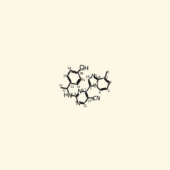 Cc1cccn2c(-c3nc(NC(C)c4ccc(O)cc4)ncc3C#N)cnc12